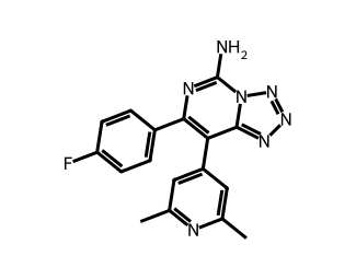 Cc1cc(-c2c(-c3ccc(F)cc3)nc(N)n3nnnc23)cc(C)n1